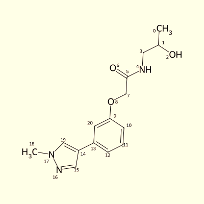 CC(O)CNC(=O)COc1c[c]cc(-c2cnn(C)c2)c1